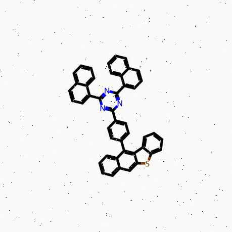 c1ccc2c(-c3nc(-c4ccc(-c5c6ccccc6cc6sc7ccccc7c56)cc4)nc(-c4cccc5ccccc45)n3)cccc2c1